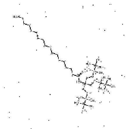 CCCCCCCCCCCCCCCCCC(=O)NC(CO[Si](C)(C)C(C)(C)C)(CO[Si](C)(C)C(C)(C)C)CO[Si](C)(C)C(C)(C)C